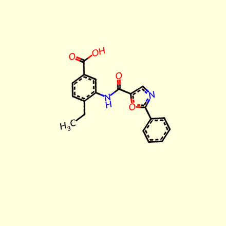 CCc1ccc(C(=O)O)cc1NC(=O)c1cnc(-c2ccccc2)o1